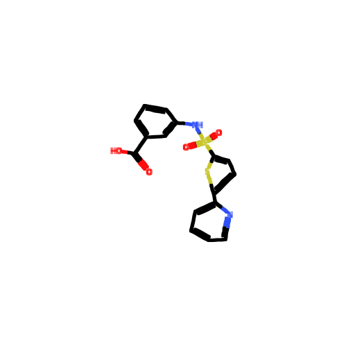 O=C(O)c1cccc(NS(=O)(=O)c2ccc(-c3ccccn3)s2)c1